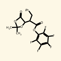 CC(C)CC(C(=O)Oc1c(F)c(F)c(F)c(F)c1F)C1OC(C)(C)OC1=O